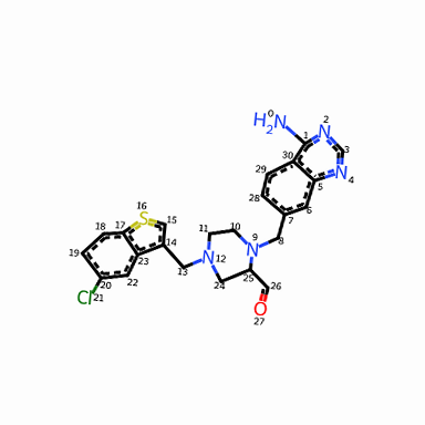 Nc1ncnc2cc(CN3CCN(Cc4csc5ccc(Cl)cc45)CC3C=O)ccc12